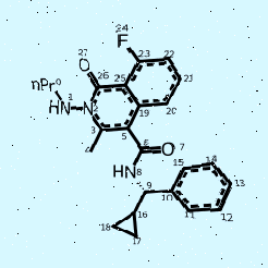 CCCNn1c(C)c(C(=O)N[C@H](c2ccccc2)C2CC2)c2cccc(F)c2c1=O